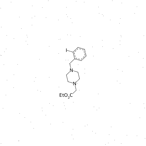 CCOC(=O)CN1CCN(Cc2ccccc2I)CC1